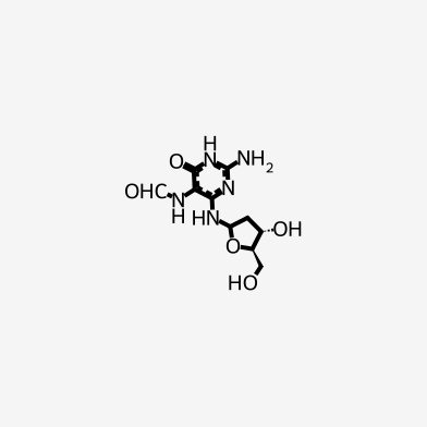 Nc1nc(NC2C[C@H](O)[C@@H](CO)O2)c(NC=O)c(=O)[nH]1